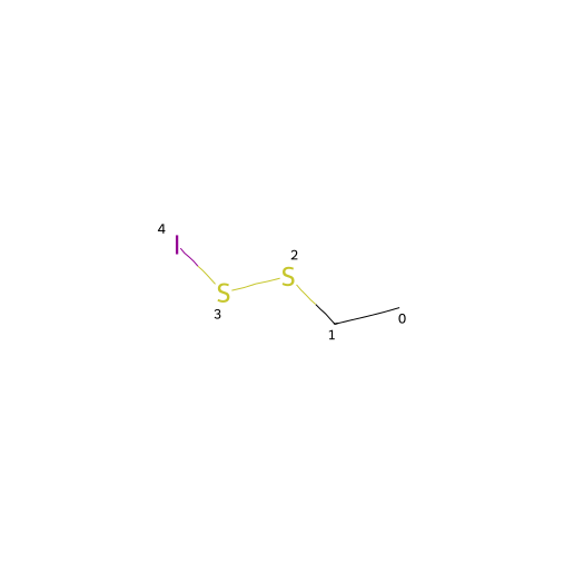 CCSSI